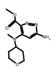 COC(=O)c1nnc(N)cc1N(C)C1CCOCC1